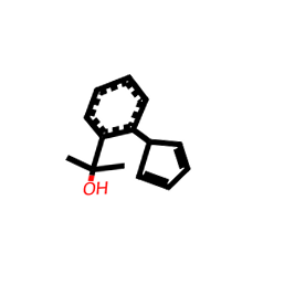 CC(C)(O)c1ccccc1C1C=CC=C1